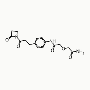 NC(=O)COCC(=O)Nc1ccc(CCC(=O)N2CCC2=O)cc1